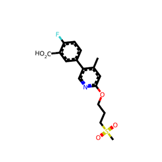 Cc1cc(OCCCS(C)(=O)=O)ncc1-c1ccc(F)c(C(=O)O)c1